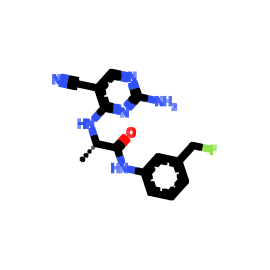 C[C@H](Nc1nc(N)ncc1C#N)C(=O)Nc1cccc(CF)c1